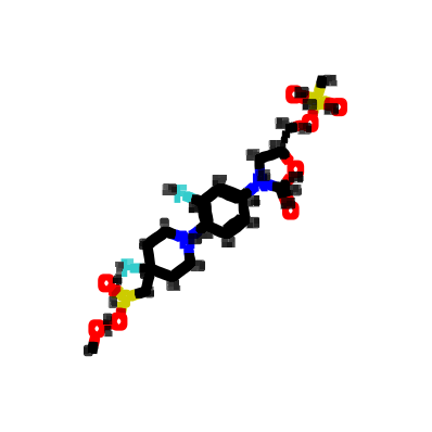 COOS(=O)CC1(F)CCN(c2ccc(N3C[C@H](COS(C)(=O)=O)OC3=O)cc2F)CC1